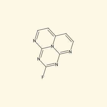 FC1=NC2=NC=CC3=CC=NC(=N1)N32